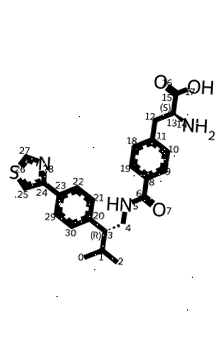 CC(C)[C@@H](CNC(=O)c1ccc(C[C@H](N)C(=O)O)cc1)c1ccc(-c2cscn2)cc1